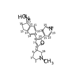 CN1CCCC(c2cc(-c3ccc4c(c3)CCC4=NO)c(-c3ccncc3)o2)C1